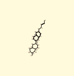 C/C=C/CCc1ccc2cc(C3CCC4CC(C)CCC4C3)ccc2c1